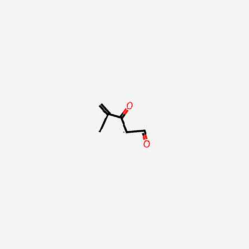 C=C(C)C(=O)[CH]C=O